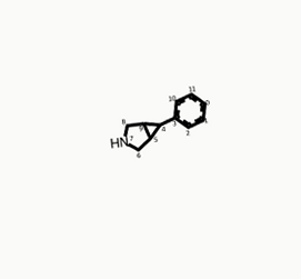 c1ccc(C2C3CNCC32)cc1